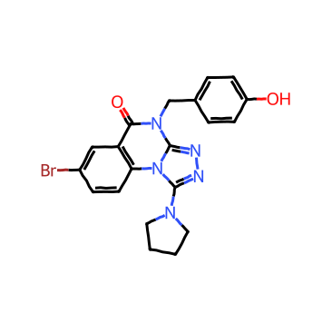 O=c1c2cc(Br)ccc2n2c(N3CCCC3)nnc2n1Cc1ccc(O)cc1